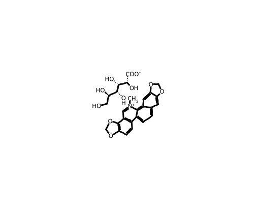 C[n+]1cc2c3c(ccc2c2ccc4cc5c(cc4c21)OCO5)OCO3.O=C([O-])[C@H](O)[C@@H](O)[C@H](O)[C@H](O)CO